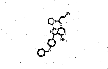 CC(C)/C=C/C(=O)N1CCC[C@H]1c1nc(-c2ccc(Oc3ccccc3)cc2)c2c(N)nccn12